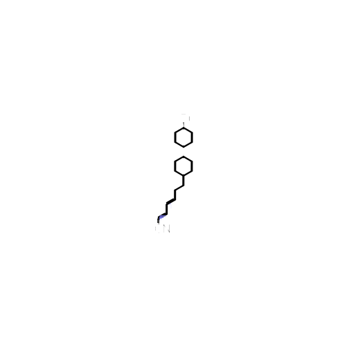 CC[C@H]1CC[C@H](C2CCC(CC/C=C/C=C/C#N)CC2)CC1